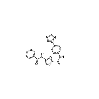 C=C(Nc1ccc(-n2cncn2)cc1)c1ccc(NC(=O)c2ccccc2)o1